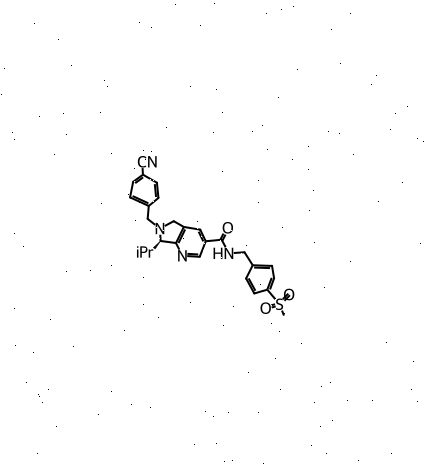 CC(C)[C@@H]1c2ncc(C(=O)NCc3ccc(S(C)(=O)=O)cc3)cc2CN1Cc1ccc(C#N)cc1